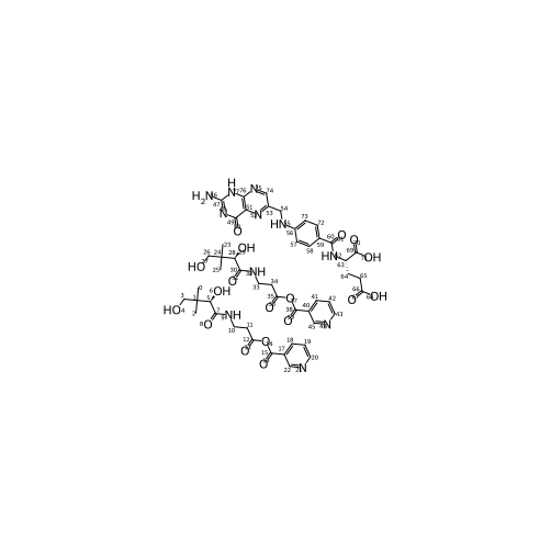 CC(C)(CO)[C@@H](O)C(=O)NCCC(=O)OC(=O)c1cccnc1.CC(C)(CO)[C@@H](O)C(=O)NCCC(=O)OC(=O)c1cccnc1.Nc1nc(=O)c2nc(CNc3ccc(C(=O)N[C@@H](CCC(=O)O)C(=O)O)cc3)cnc2[nH]1